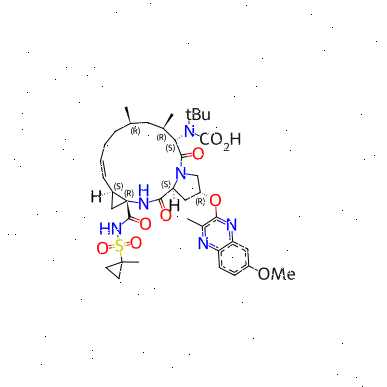 COc1ccc2nc(C)c(O[C@@H]3C[C@H]4C(=O)N[C@]5(C(=O)NS(=O)(=O)C6(C)CC6)C[C@H]5C=CCC[C@@H](C)C[C@@H](C)[C@H](N(C(=O)O)C(C)(C)C)C(=O)N4C3)nc2c1